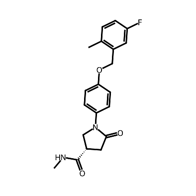 CNC(=O)[C@H]1CC(=O)N(c2ccc(OCc3cc(F)ccc3C)cc2)C1